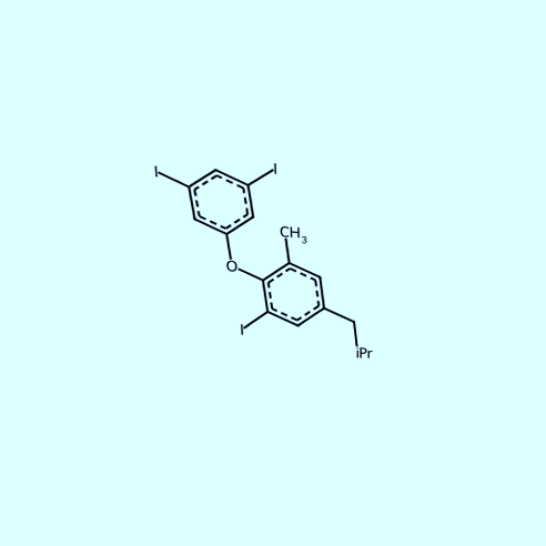 Cc1cc(CC(C)C)cc(I)c1Oc1cc(I)cc(I)c1